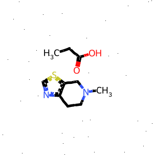 CCC(=O)O.CN1CCc2ncsc2C1